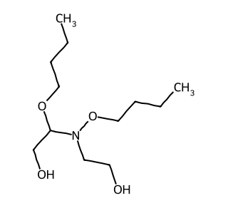 CCCCOC(CO)N(CCO)OCCCC